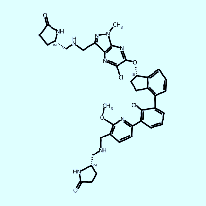 COc1nc(-c2cccc(-c3cccc4c3CC[C@@H]4Oc3nc4c(nc3Cl)c(CNC[C@@H]3CCC(=O)N3)nn4C)c2Cl)ccc1CNC[C@@H]1CCC(=O)N1